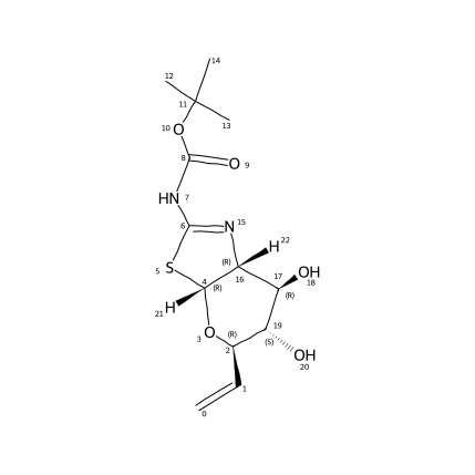 C=C[C@H]1O[C@@H]2SC(NC(=O)OC(C)(C)C)=N[C@@H]2[C@@H](O)[C@@H]1O